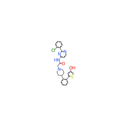 O=C(CN1CCC(c2ccccc2-c2cc(O)cs2)CC1)Nc1ccnc(-c2ccccc2Cl)n1